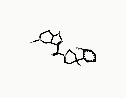 CC(=O)N1CCC2NN=C(C(=O)N3CCC(O)(c4ccccc4C(F)(F)F)CC3)C2C1